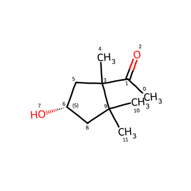 CC(=O)C1(C)C[C@@H](O)CC1(C)C